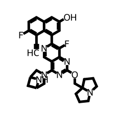 C#Cc1c(F)ccc2cc(O)cc(-c3ncc4c(N5CC6CC(C5)N6)nc(OCC56CCCN5CCC6)nc4c3F)c12